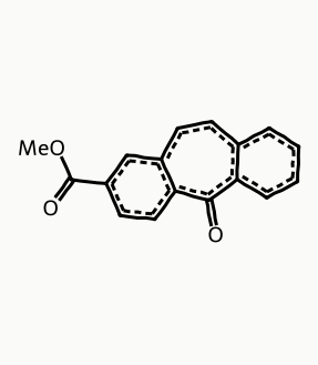 COC(=O)c1ccc2c(=O)c3ccccc3ccc2c1